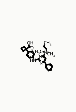 CCC[N+](C)(C)c1cc(-c2ccccc2)nc(Nc2ccc(C3(C(=O)O)CCC3)cc2)n1